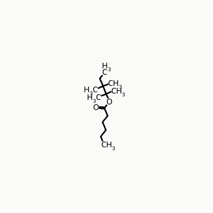 CCCCCC(=O)OC(C)(C)C(C)(C)CC